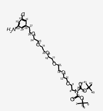 CC(C)(C)OC(=O)N(CCOCCOCCOCCOCCOCCOCCc1cc(N)cc(Cl)c1)C(=O)OC(C)(C)C